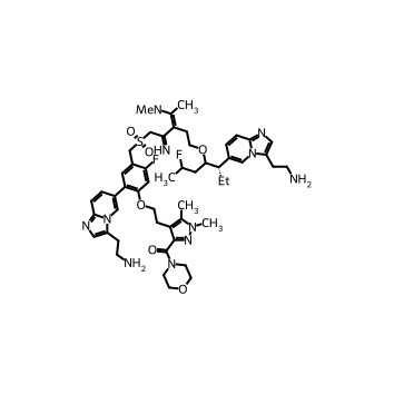 CC[C@@H](c1ccc2ncc(CCN)n2c1)C(CC(C)F)OCC/C(C(=N)CS(=O)(=O)Cc1cc(-c2ccc3ncc(CCN)n3c2)c(OCCc2c(C(=O)N3CCOCC3)nn(C)c2C)cc1F)=C(\C)NC